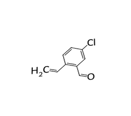 C=Cc1ccc(Cl)cc1C=O